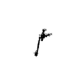 Cc1c(F)c(F)c(OC(=O)COCCOCCOCCOCCOCCCC(C)Nc2cc(OC(C)(C)C)c3ccc4c(S(=O)(=O)N(C)CCS(=O)(=O)O)cc(S(=O)(=O)N(C)CCS(=O)(=O)O)c5ccc2c3c54)c(F)c1F